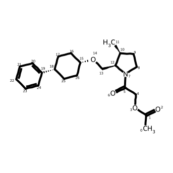 CC(=O)OCC(=O)N1CC[C@H](C)[C@@H]1CO[C@H]1CC[C@@H](c2ccccc2)CC1